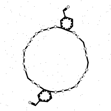 O=Cc1ccc2c(c1)OCCOCCOCCOCCOc1cc(C=O)ccc1OCCOCCOCCOCCO2